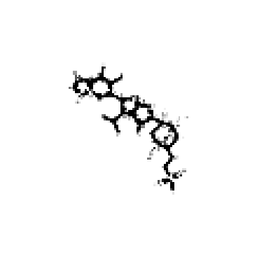 Cc1c(-c2[nH]c3sc([C@@H]4C[C@@H]5CC[C@H]4CN5CCS(C)(=O)=O)c(C)c3c2C(C)C)cn2ncnc2c1C